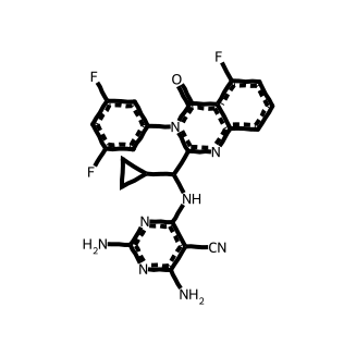 N#Cc1c(N)nc(N)nc1NC(c1nc2cccc(F)c2c(=O)n1-c1cc(F)cc(F)c1)C1CC1